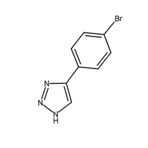 Brc1ccc(-c2c[nH]nn2)cc1